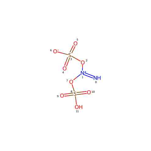 N=[N+](OS(=O)(=O)[O-])OS(=O)(=O)O